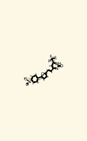 O=c1nc(C=Cc2ccc(-c3ccc([N+](=O)[O-])cc3)o2)cc(C(F)(F)F)[nH]1